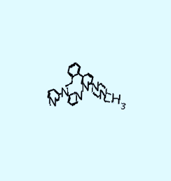 CN1CCN(c2ccc(-c3ccccc3CCN(c3cccnc3)c3cccnc3)cn2)CC1